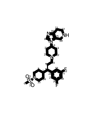 CS(=O)(=O)N1CCC([C@@H](CCN2CCC(n3cnc4c3CNCC4)CC2)c2cc(F)cc(F)c2)CC1